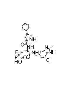 Cc1nc2cc(CNC(=O)[C@H](C)NC(=O)[C@H]3C[C@H](c4ccccc4)CN3)cc(Cl)c2[nH]1.O=C(O)C(F)(F)F